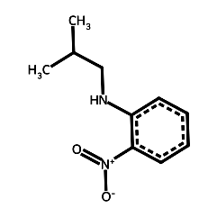 CC(C)CNc1ccccc1[N+](=O)[O-]